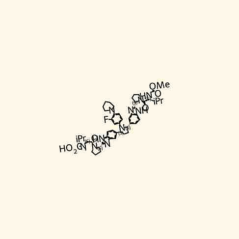 COC(=O)N[C@H](C(=O)N1CCC[C@H]1c1nc2cc([C@@H]3CC[C@@H](c4ccc5[nH]c([C@@H]6CCCN6C(=O)[C@H](C(C)C)N(C)C(=O)O)nc5c4)N3c3ccc(N4CCCCC4)c(F)c3)ccc2[nH]1)C(C)C